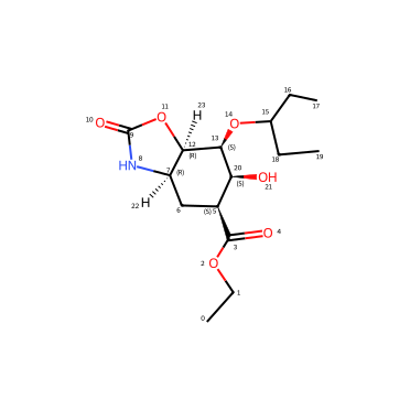 CCOC(=O)[C@H]1C[C@H]2NC(=O)O[C@H]2[C@@H](OC(CC)CC)[C@H]1O